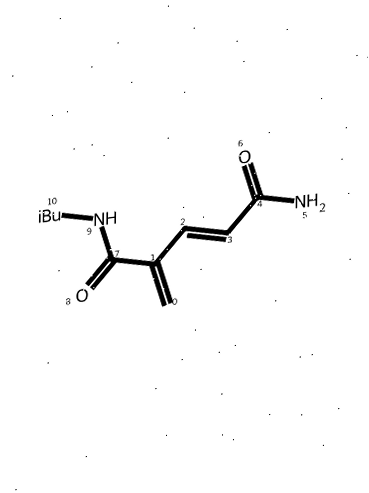 C=C(C=CC(N)=O)C(=O)NC(C)CC